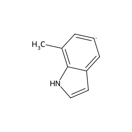 Cc1c[c]cc2cc[nH]c12